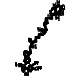 CC(C)c1cc(-c2nnc(O)n2-c2ccc3c(ccn3CCNC(=O)CCCCCNCCCCC[C@H]3SC[C@H]4NC(=O)N[C@H]43)c2)c(O)cc1O